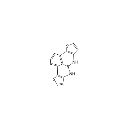 c1cc2c3c(c1)-c1sccc1NB3Nc1ccsc1-2